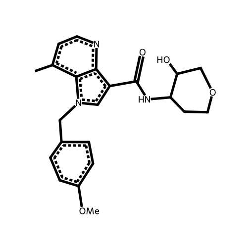 COc1ccc(Cn2cc(C(=O)NC3CCOCC3O)c3nccc(C)c32)cc1